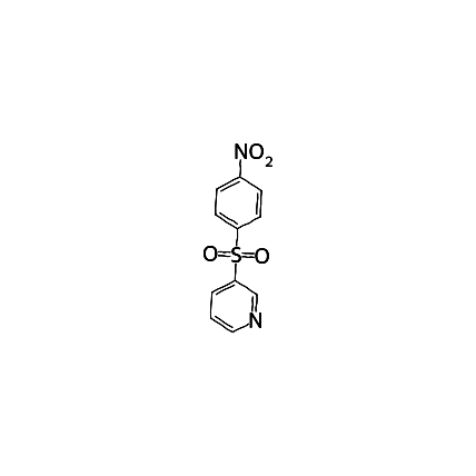 O=[N+]([O-])c1ccc(S(=O)(=O)c2cccnc2)cc1